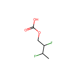 CC(F)C(F)COC(=O)O